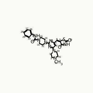 CN1CCN(c2cc(C=C3SC(=O)NC3=O)nc(N3CCN(C(=O)Nc4ccccc4)CC3)n2)CC1